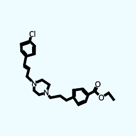 CCOC(=O)c1ccc(CCCN2CCN(C/C=C/c3ccc(Cl)cc3)CC2)cc1